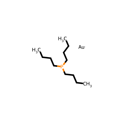 CCCCP(CCCC)CCCC.[Au]